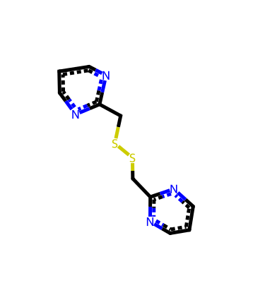 c1cnc(CSSCc2ncccn2)nc1